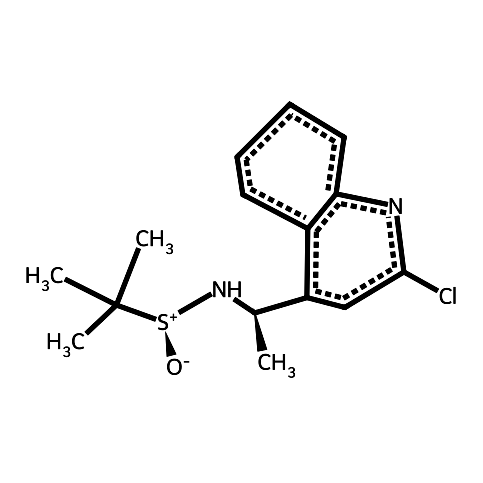 C[C@@H](N[S@@+]([O-])C(C)(C)C)c1cc(Cl)nc2ccccc12